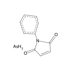 O=C1C=CC(=O)N1c1ccccc1.[AsH3]